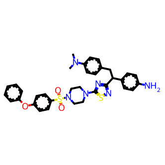 CN(C)c1ccc(CC(c2ccc(N)cc2)c2nsc(N3CCN(S(=O)(=O)c4ccc(Oc5ccccc5)cc4)CC3)n2)cc1